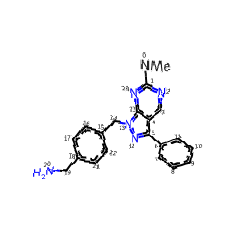 CNc1ncc2c(-c3ccccc3)nn(Cc3ccc(CN)cc3)c2n1